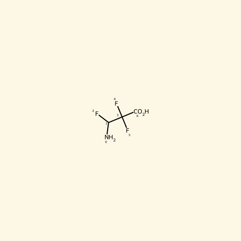 NC(F)C(F)(F)C(=O)O